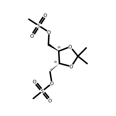 CC1(C)O[C@H](COS(C)(=O)=O)[C@@H](COS(C)(=O)=O)O1